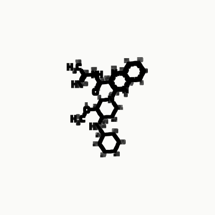 COC1CN(c2nc3ccccc3nc2C(=O)NC(C)=N)CCC1NC1CCCCC1